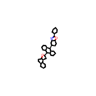 c1ccc(-c2nc3cc(-c4c5ccccc5c(-c5cc6c(ccc7ccccc76)o5)c5ccccc45)ccc3o2)cc1